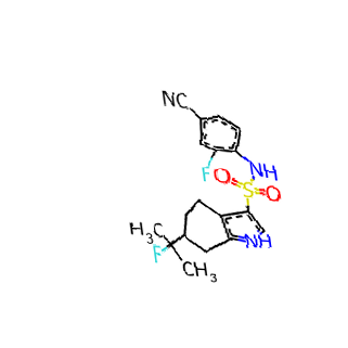 CC(C)(F)C1CCc2c(S(=O)(=O)Nc3ccc(C#N)cc3F)c[nH]c2C1